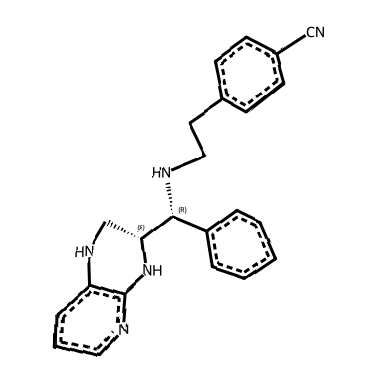 N#Cc1ccc(CCN[C@H](c2ccccc2)[C@H]2CNc3cccnc3N2)cc1